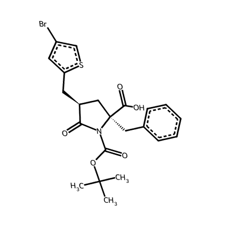 CC(C)(C)OC(=O)N1C(=O)[C@@H](Cc2cc(Br)cs2)C[C@@]1(Cc1ccccc1)C(=O)O